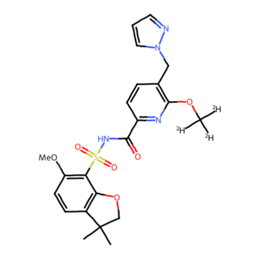 [2H]C([2H])([2H])Oc1nc(C(=O)NS(=O)(=O)c2c(OC)ccc3c2OCC3(C)C)ccc1Cn1cccn1